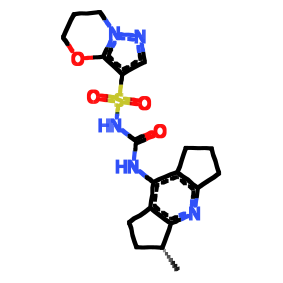 C[C@@H]1CCc2c1nc1c(c2NC(=O)NS(=O)(=O)c2cnn3c2OCCC3)CCC1